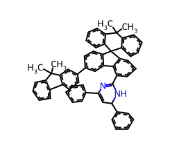 CC1(C)c2ccccc2-c2ccc(-c3ccc4c(c3)-c3c(C5=NC(c6ccccc6)=CC(c6ccccc6)N5)cccc3C43c4ccccc4C(C)(C)c4ccccc43)cc21